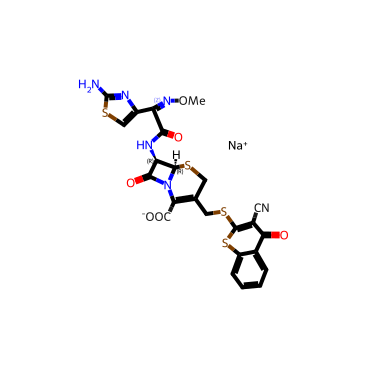 CO/N=C(\C(=O)N[C@@H]1C(=O)N2C(C(=O)[O-])=C(CSc3sc4ccccc4c(=O)c3C#N)CS[C@H]12)c1csc(N)n1.[Na+]